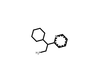 PCC(c1ccccn1)C1CCCCC1